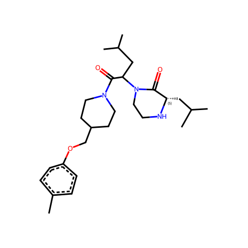 Cc1ccc(OCC2CCN(C(=O)C(CC(C)C)N3CCN[C@@H](CC(C)C)C3=O)CC2)cc1